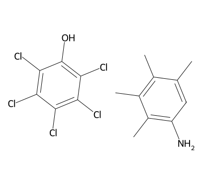 Cc1cc(N)c(C)c(C)c1C.Oc1c(Cl)c(Cl)c(Cl)c(Cl)c1Cl